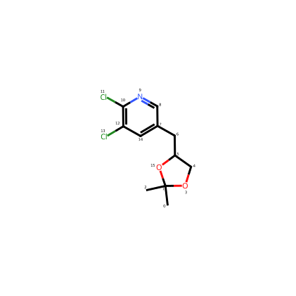 CC1(C)OCC(Cc2cnc(Cl)c(Cl)c2)O1